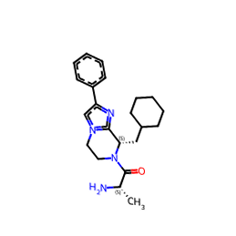 C[C@H](N)C(=O)N1CCn2cc(-c3ccccc3)nc2[C@@H]1CC1CCCCC1